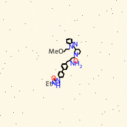 CCNC(=O)Nc1ccc(-c2ccc(CC(N)CC(=O)N3CCCC(c4nc5ccccc5n4CCCOC)C3)cc2)cc1